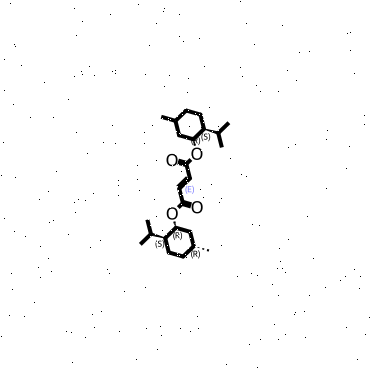 CC1CC[C@@H](C(C)C)[C@H](OC(=O)/C=C/C(=O)O[C@@H]2C[C@H](C)CC[C@H]2C(C)C)C1